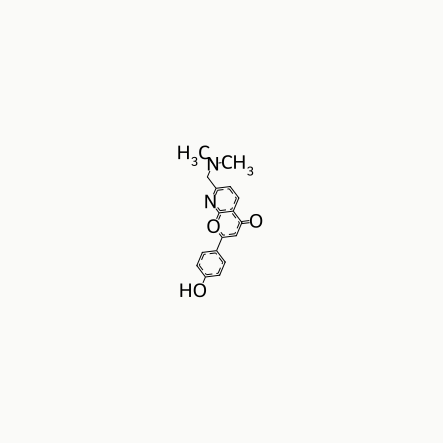 CN(C)Cc1ccc2c(=O)cc(-c3ccc(O)cc3)oc2n1